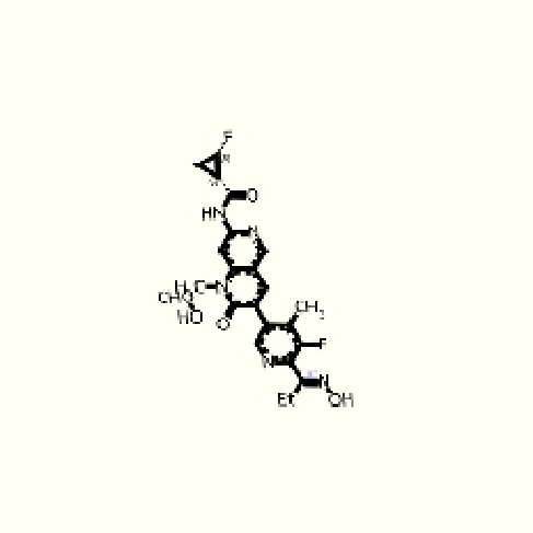 CC/C(=N\O)c1ncc(-c2cc3cnc(NC(=O)[C@@H]4C[C@@H]4F)cc3n(C)c2=O)c(C)c1F.O=CO